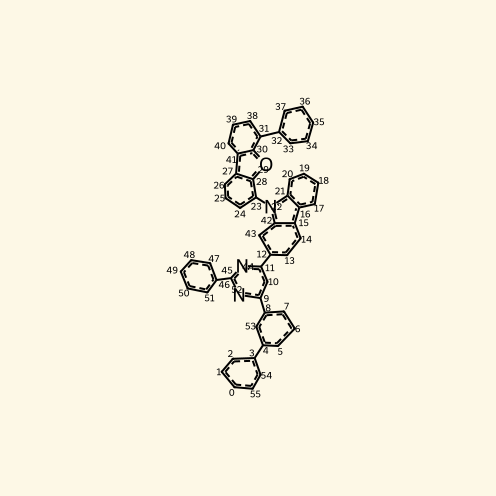 c1ccc(-c2cccc(-c3cc(-c4ccc5c6ccccc6n(-c6cccc7c6oc6c(-c8ccccc8)cccc67)c5c4)nc(-c4ccccc4)n3)c2)cc1